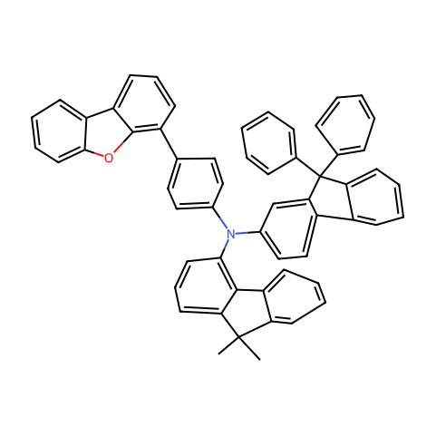 CC1(C)c2ccccc2-c2c(N(c3ccc(-c4cccc5c4oc4ccccc45)cc3)c3ccc4c(c3)C(c3ccccc3)(c3ccccc3)c3ccccc3-4)cccc21